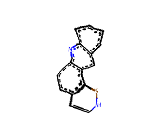 C1=Cc2ccc3nc4ccccc4cc3c2SN1